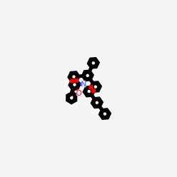 c1ccc(-c2ccc(-c3ccc(N(c4c(-c5ccccc5)cc(-c5ccccc5)cc4-c4ccccc4)c4cccc5c4oc4ccccc45)cc3)cc2)cc1